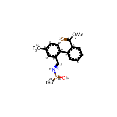 COC(=S)c1ccccc1-c1ccc(C(F)(F)F)cc1/C=N/[S+]([O-])C(C)(C)C